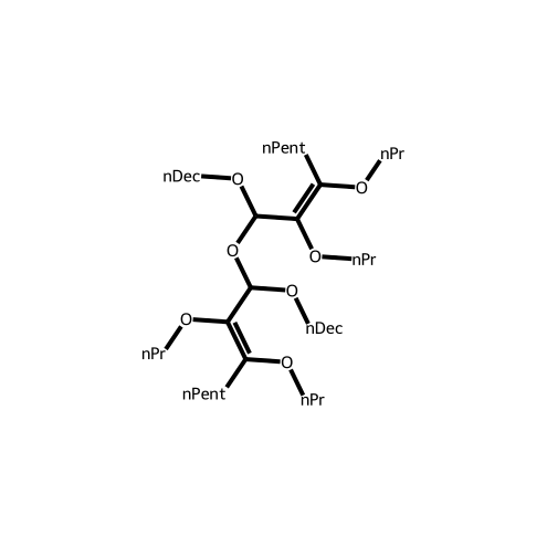 CCCCCCCCCCOC(OC(OCCCCCCCCCC)C(OCCC)=C(CCCCC)OCCC)C(OCCC)=C(CCCCC)OCCC